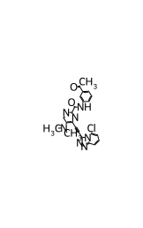 CC(=O)c1cccc(NC(=O)c2ncc(N(C)C)c(C#Cc3nnc4cccc(Cl)n34)n2)c1